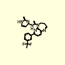 C=C1N=C(NC(=C)N2CCC=Nc3ccc(-c4cccc(C(C)(F)F)c4)nc32)C=CN1